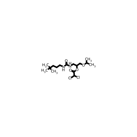 CC(C)OCC(CNC(=O)NCCCC(C)(C)C)OC(=O)C(Cl)Cl